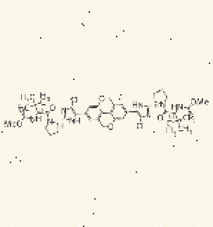 COC(=O)N[C@H](C(=O)N1CCC[C@H]1c1nc(Cl)c(-c2cc3c4c(c2)OCc2cc(-c5[nH]c([C@@H]6CCCN6C(=O)[C@@H](NC(=O)OC)C(C)(C)C(F)(F)F)nc5Cl)cc(c2-4)OC3)[nH]1)C(C)(C)C(F)(F)F